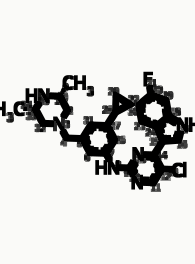 C[C@@H]1CN(Cc2cc(Nc3ncc(Cl)c(-c4c[nH]c5cc(F)ccc45)n3)cc(C3CC3)c2)C[C@H](C)N1